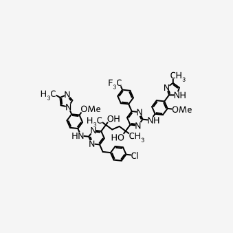 COc1cc(Nc2nc(-c3ccc(C(F)(F)F)cc3)cc(C(C)(O)CCC(C)(O)c3cc(Cc4ccc(Cl)cc4)nc(Nc4ccc(-n5cnc(C)c5)c(OC)c4)n3)n2)ccc1-c1nc(C)c[nH]1